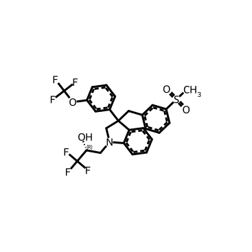 CS(=O)(=O)c1cccc(CC2(c3cccc(OC(F)(F)F)c3)CN(C[C@@H](O)C(F)(F)F)c3ccccc32)c1